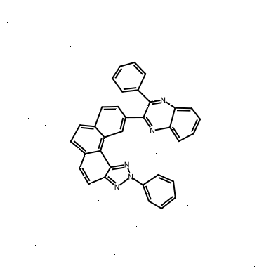 c1ccc(-c2nc3ccccc3nc2-c2ccc3ccc4ccc5nn(-c6ccccc6)nc5c4c3c2)cc1